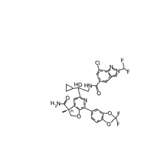 C[C@]1(C(N)=O)COc2c1cc(C(O)(CNC(=O)c1cc(Cl)c3nn(C(F)F)cc3c1)C1CC1)nc2-c1ccc2c(c1)OC(F)(F)O2